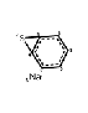 [Na].c1ccc2c(c1)S2